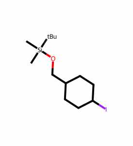 CC(C)(C)[Si](C)(C)OCC1CCC(I)CC1